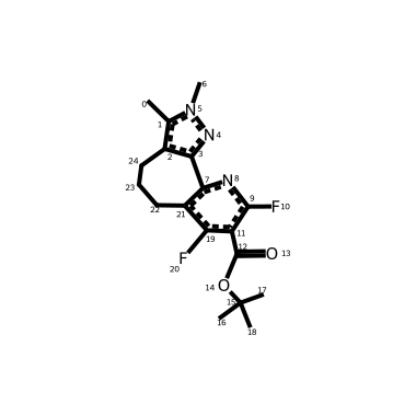 Cc1c2c(nn1C)-c1nc(F)c(C(=O)OC(C)(C)C)c(F)c1CCC2